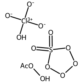 CC(=O)OO.O=S1(=O)OOOO1.[O-][Cl+3]([O-])([O-])O